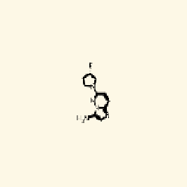 Nc1cnc2ccc(N3CC[C@H](F)C3)nn12